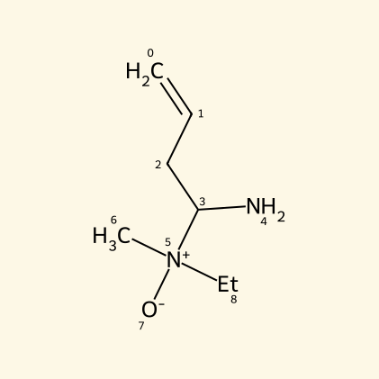 C=CCC(N)[N+](C)([O-])CC